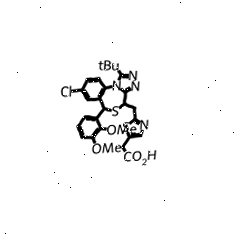 COc1cccc(C2SC(Cc3ncc(CC(=O)O)s3)c3nnc(C(C)(C)C)n3-c3ccc(Cl)cc32)c1OC